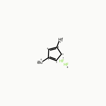 CCC(C)C1=CC[C]([Hf])=C1.F.F